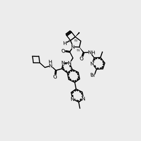 Cc1ncc(-c2ccc3c(c2)c(C(=O)NCC2CCC2)nn3CC(=O)N2[C@H](C(=O)Nc3nc(Br)ccc3C)C[C@@]3(C)C#C[C@@H]23)cn1